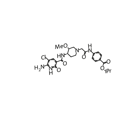 CO[C@H]1CN(CC(=O)Nc2ccc(C(=O)OC(C)C)cc2)CC[C@H]1NC(=O)c1cc(Cl)c(N)[nH]c1=O